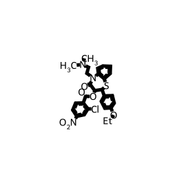 CCOc1ccc(C2Sc3ccccc3N(CCN(C)C)C(=O)C2OC(=O)c2ccc([N+](=O)[O-])cc2Cl)cc1